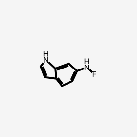 FNc1ccc2cc[nH]c2c1